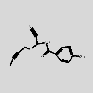 Cc1ccc(C(=O)NC(C#N)OCC#CI)cc1